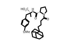 COc1ccc(C[C@](C)(NC(=O)[C@@H]2CCCN2C(=O)CCCC23CC4CC(CC(C4)C2)C3)C(=O)O)cc1